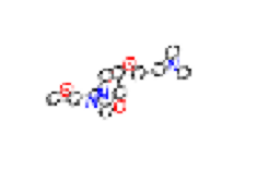 c1ccc(-c2cc(-c3ccc4c(c3)oc3ccccc34)nc(-c3cccc4oc5ccc(-c6cccc7oc8cc(-c9ccc%10c(c9)c9ccccc9n%10-c9ccccc9)ccc8c67)cc5c34)n2)cc1